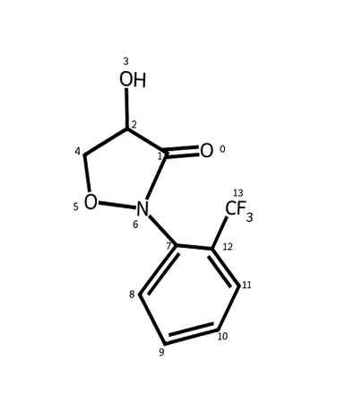 O=C1C(O)CON1c1ccccc1C(F)(F)F